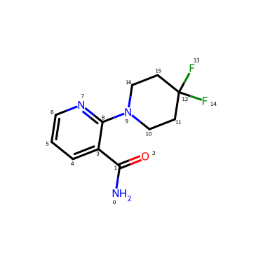 NC(=O)c1cccnc1N1CCC(F)(F)CC1